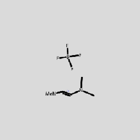 C[NH2+]/C=C/N(C)C.F[B-](F)(F)F